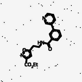 CCOC(=O)c1cc(CCNC(=O)c2cccc(-c3cccnc3)c2)on1